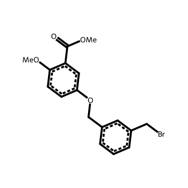 COC(=O)c1cc(OCc2cccc(CBr)c2)ccc1OC